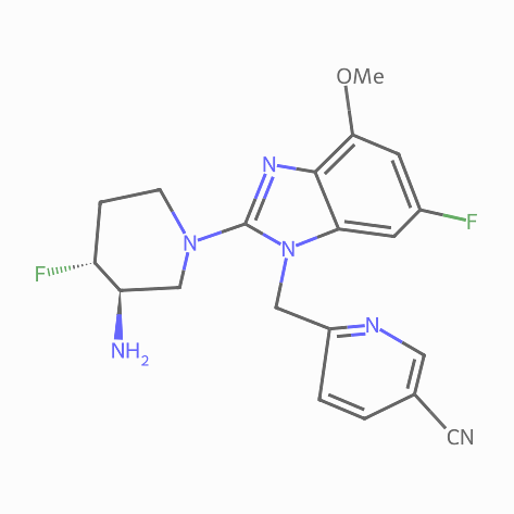 COc1cc(F)cc2c1nc(N1CC[C@@H](F)[C@H](N)C1)n2Cc1ccc(C#N)cn1